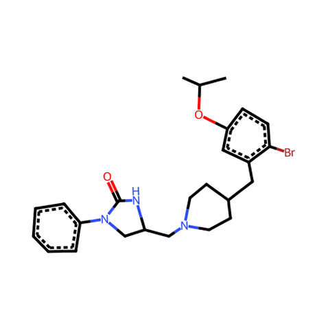 CC(C)Oc1ccc(Br)c(CC2CCN(CC3CN(c4ccccc4)C(=O)N3)CC2)c1